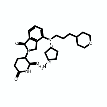 N[C@H]1CC[C@@H](N(CCCC2CCOCC2)c2cccc3c2CN(C2CCC(=O)NC2=O)C3=O)C1